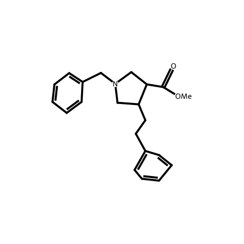 COC(=O)C1CN(Cc2ccccc2)CC1CCc1ccccc1